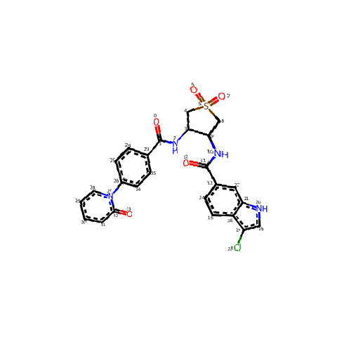 O=C(NC1CS(=O)(=O)CC1NC(=O)c1ccc2c(Cl)c[nH]c2c1)c1ccc(-n2ccccc2=O)cc1